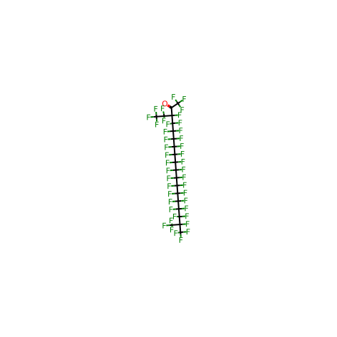 O=C(C(F)(F)F)C(F)(C(F)(F)C(F)(F)F)C(F)(F)C(F)(F)C(F)(F)C(F)(F)C(F)(F)C(F)(F)C(F)(F)C(F)(F)C(F)(F)C(F)(F)C(F)(F)C(F)(F)C(F)(F)C(F)(C(F)(F)F)C(F)(F)F